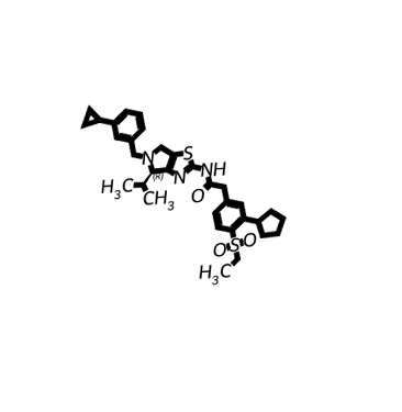 CCS(=O)(=O)c1ccc(CC(=O)Nc2nc3c(s2)CN(Cc2cccc(C4CC4)c2)[C@@H]3C(C)C)cc1C1CCCC1